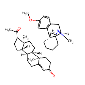 CC(=O)[C@H]1CC[C@H]2[C@@H]3CCC4=CC(=O)CC[C@]4(C)[C@H]3CC[C@]12C.COc1ccc2c(c1)[C@]13CCCC[C@@H]1[C@H](C2)N(C)CC3